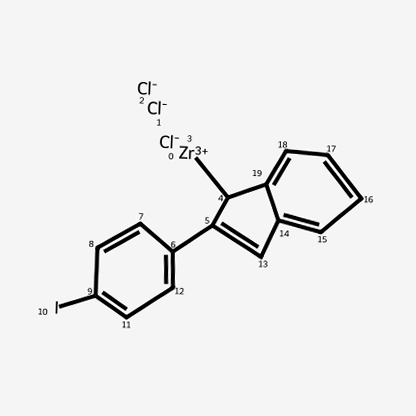 [Cl-].[Cl-].[Cl-].[Zr+3][CH]1C(c2ccc(I)cc2)=Cc2ccccc21